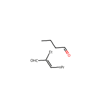 CCCC=C(C=O)CC.CCCC=O